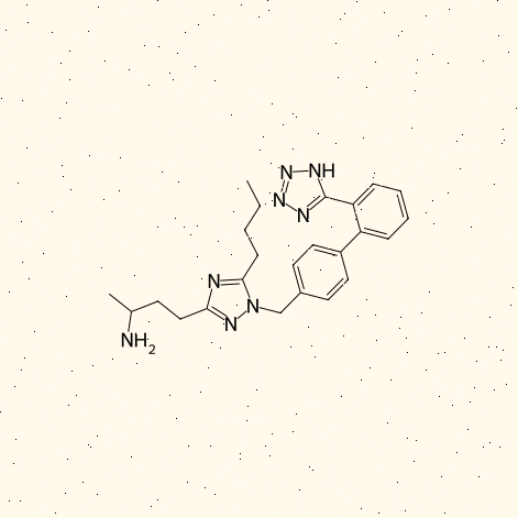 CCCCc1nc(CCC(C)N)nn1Cc1ccc(-c2ccccc2-c2nnn[nH]2)cc1